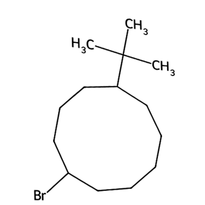 CC(C)(C)C1CCCCCC(Br)CCC1